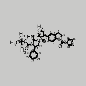 C=CC(c1ccc2c(c1)CCN2C(=O)n1ccnc1)S(=O)(=O)N1CC(c2ccccc2)N(C(=O)OC(C)(C)C)C1=N